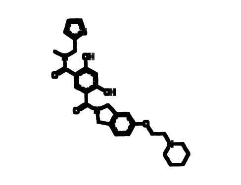 CN(Cc1cccs1)C(=O)c1cc(C(=O)N2Cc3ccc(OCCN4CCCCC4)cc3C2)c(O)cc1O